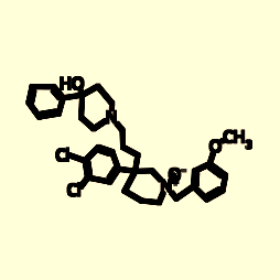 COc1cccc(C[N+]2([O-])CCCC(CCCN3CCC(O)(c4ccccc4)CC3)(c3ccc(Cl)c(Cl)c3)C2)c1